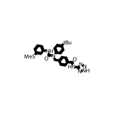 CSc1cccc(NC(=O)N(Cc2ccc(C(=O)Nc3nn[nH]n3)cc2)c2ccc(C(C)(C)C)cc2)c1